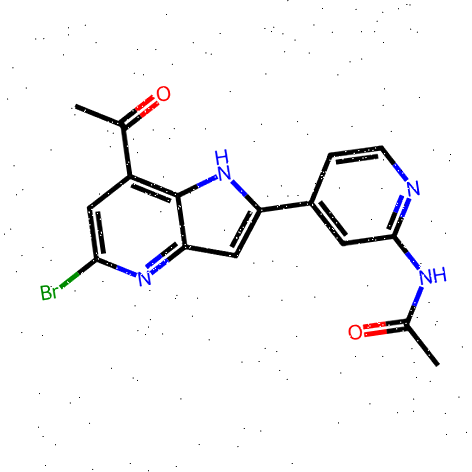 CC(=O)Nc1cc(-c2cc3nc(Br)cc(C(C)=O)c3[nH]2)ccn1